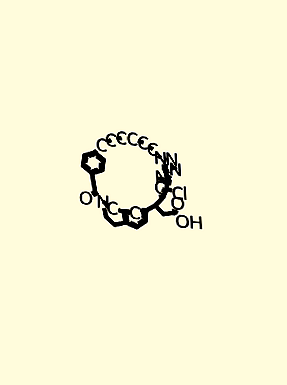 O=C(O)CC1c2ccc3c(c2)CN(CC3)C(=O)c2ccc(cc2)CCCCCCn2nnc3c(Cl)c1cnc32